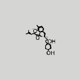 COc1c(C)ccc(CCSCC2(O)CCC(O)CC2)c1C1(C)OC1CC=C(C)C